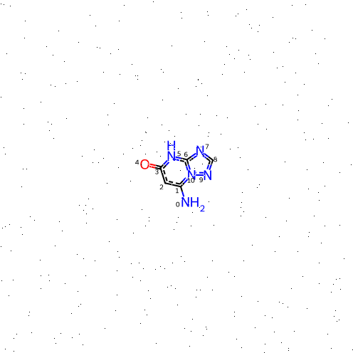 Nc1cc(=O)[nH]c2ncnn12